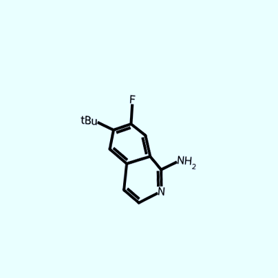 CC(C)(C)c1cc2ccnc(N)c2cc1F